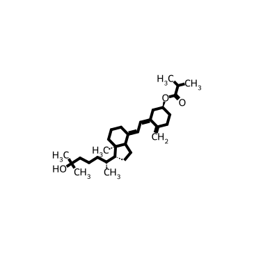 C=C1CC[C@H](OC(=O)C(C)C)C/C1=C/C=C1CCC[C@@]2(C)C1CC[C@@H]2[C@H](C)CCCC(C)(C)O